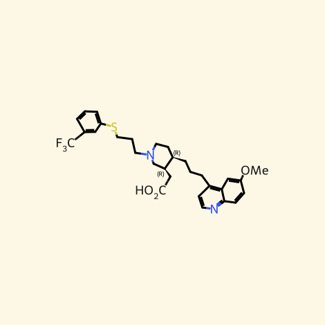 COc1ccc2nccc(CCC[C@@H]3CCN(CCCSc4cccc(C(F)(F)F)c4)C[C@@H]3CC(=O)O)c2c1